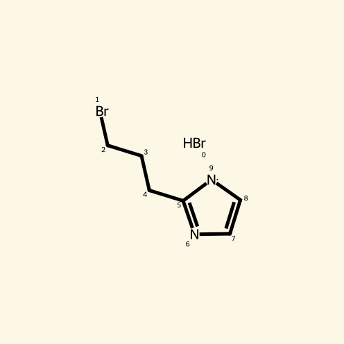 Br.BrCCCC1=NC=C[N]1